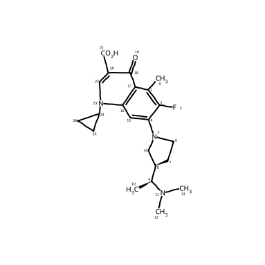 Cc1c(F)c(N2CC[C@@H]([C@H](C)N(C)C)C2)cc2c1c(=O)c(C(=O)O)cn2C1CC1